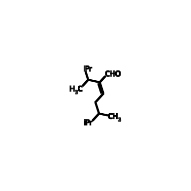 CC(C)C(C)CC=C(C=O)C(C)C(C)C